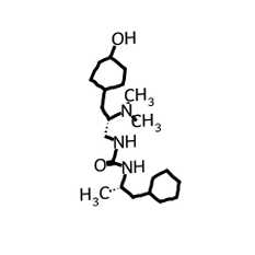 C[C@@H](CC1CCCCC1)NC(=O)NC[C@H](CC1CCC(O)CC1)N(C)C